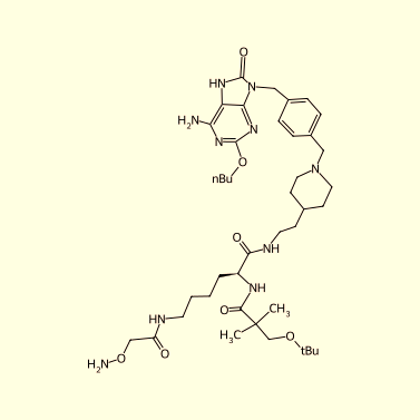 CCCCOc1nc(N)c2[nH]c(=O)n(Cc3ccc(CN4CCC(CCNC(=O)[C@H](CCCCNC(=O)CON)NC(=O)C(C)(C)COC(C)(C)C)CC4)cc3)c2n1